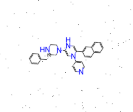 C1=C(N2CCN[C@@H](Cc3ccccc3)C2)NC=C(c2ccc3ccccc3c2)N1c1ccncc1